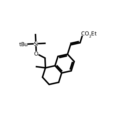 CCOC(=O)/C=C/c1ccc2c(c1)C(C)(CO[Si](C)(C)C(C)(C)C)CCC2